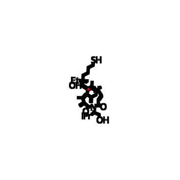 C=C1C(=O)N(C(CO)C(C)C)C(=O)/C=C/C=CC(C=O)/C(C(=C)CN(C)C(C)/C=C\C(C)(CC)CCCCS)=C/1C